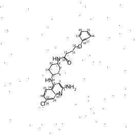 Nc1cc(NC2CCC(NC(=O)CCCOc3ccccc3)CC2)c2ccc(Cl)cc2n1